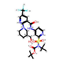 CC(C)(C)OC(=O)N(C(C)(C)C)S(=O)(=O)c1cc(NC(=O)c2cc(C(F)(F)F)cnc2N2CCC[C@H](CO)C2)ccn1